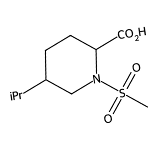 CC(C)C1CCC(C(=O)O)N(S(C)(=O)=O)C1